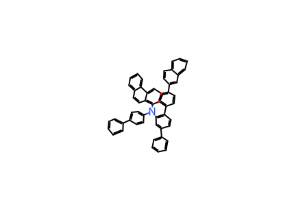 c1ccc(-c2ccc(N(c3cc(-c4ccccc4)ccc3-c3ccc(-c4ccc5ccccc5c4)cc3)c3cccc4c3ccc3ccccc34)cc2)cc1